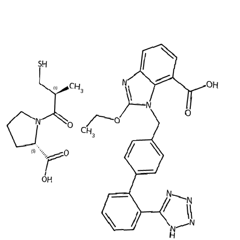 CCOc1nc2cccc(C(=O)O)c2n1Cc1ccc(-c2ccccc2-c2nnn[nH]2)cc1.C[C@H](CS)C(=O)N1CCC[C@H]1C(=O)O